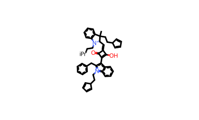 CC(C)CC[N+]1=C(/C=C2\C(=O)C(c3c(Cc4ccccc4)n(CCC4C=CC=C4)c4ccccc34)=C2O)C(C)(CCC2C=CC=C2)c2ccccc21